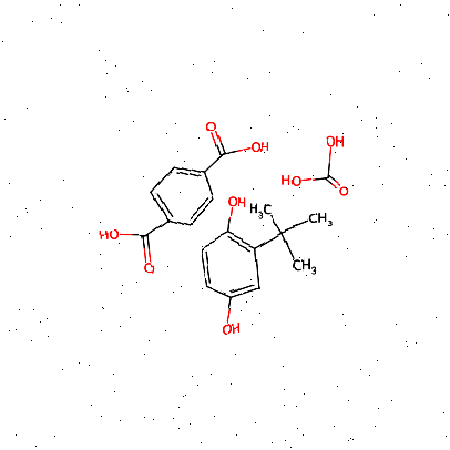 CC(C)(C)c1cc(O)ccc1O.O=C(O)O.O=C(O)c1ccc(C(=O)O)cc1